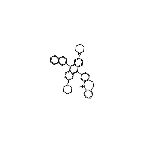 CN1c2ccccc2CCc2ccc(-c3c4ccc(N5CCCCC5)cc4c(-c4ccc5ccccc5c4)c4ccc(N5CCCCC5)cc34)cc21